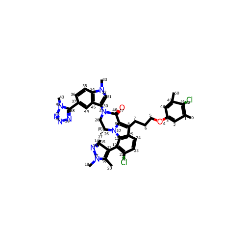 Cc1cc(OCCCc2c3n(c4c(-c5c(C)nn(C)c5C)c(Cl)ccc24)[C@H](C)CN(c2cn(C)c4ccc(-c5nnnn5C)cc24)C3=O)cc(C)c1Cl